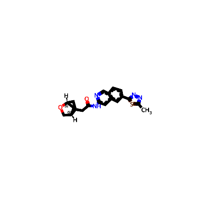 Cc1nnc(-c2ccc3cnc(NC(=O)CC4C[C@H]5C[C@@H]4CO5)cc3c2)s1